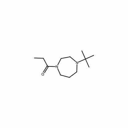 CCC(=O)N1CCCN(C(C)(C)C)CC1